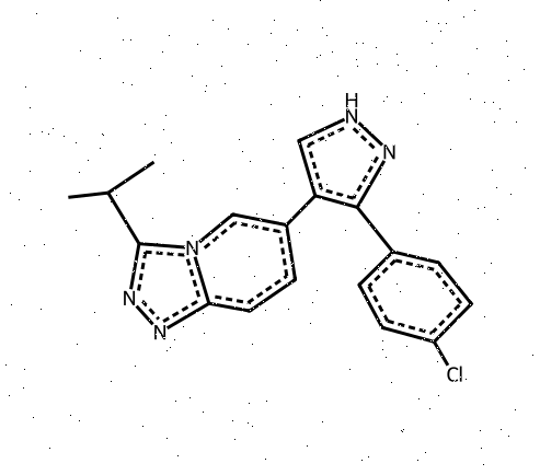 CC(C)c1nnc2ccc(-c3c[nH]nc3-c3ccc(Cl)cc3)cn12